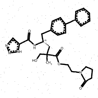 CC(CO)(C[C@@H](Cc1ccc(-c2ccccc2)cc1)NC(=O)c1cnn[nH]1)C(=O)OCCN1CCCC1=O